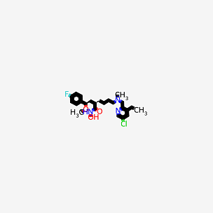 CCc1cc(Cl)cnc1CN(C)CCCC[C@@H](C[C@@H](OC)c1ccc(F)cc1)C(=O)NO